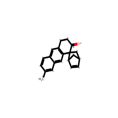 Cc1ccc2cc3c(cc2c1)C1(CC2C=CC1C2)C(=O)CC3